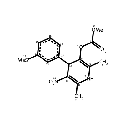 COC(=O)OC1=C(C)NC(C)=C([N+](=O)[O-])C1c1cccc(SC)c1